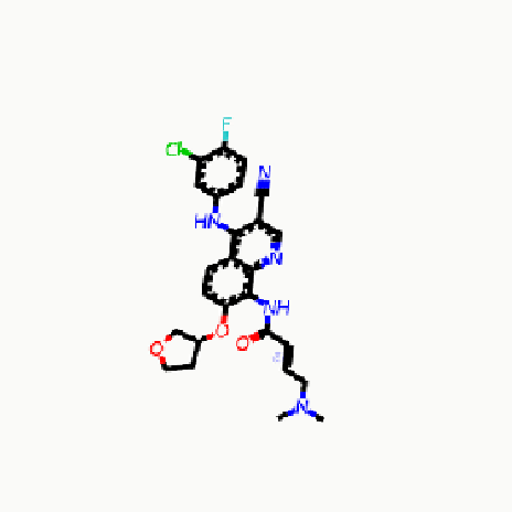 CN(C)C/C=C/C(=O)Nc1c(OC2CCOC2)ccc2c(Nc3ccc(F)c(Cl)c3)c(C#N)cnc12